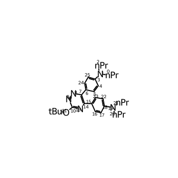 CCCN(CCC)c1ccc(-c2nnc(OC(C)(C)C)nc2-c2ccc(N(CCC)CCC)cc2)cc1